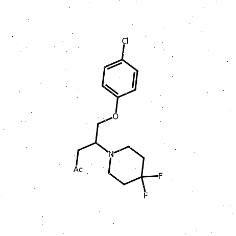 CC(=O)CC(COc1ccc(Cl)cc1)N1CCC(F)(F)CC1